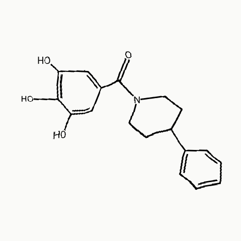 O=C(c1cc(O)c(O)c(O)c1)N1CCC(c2ccccc2)CC1